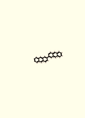 c1ccc2cc3cc(-c4ccc5cc6ccccc6cc5c4)ccc3cc2c1